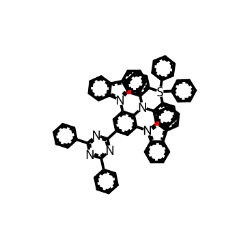 c1ccc(-c2nc(-c3ccccc3)nc(-c3cc(-n4c5ccccc5c5ccccc54)c(N4c5ccccc5S(c5ccccc5)(c5ccccc5)c5ccccc54)c(-n4c5ccccc5c5ccccc54)c3)n2)cc1